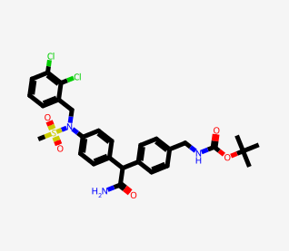 CC(C)(C)OC(=O)NCc1ccc(C(C(N)=O)c2ccc(N(Cc3cccc(Cl)c3Cl)S(C)(=O)=O)cc2)cc1